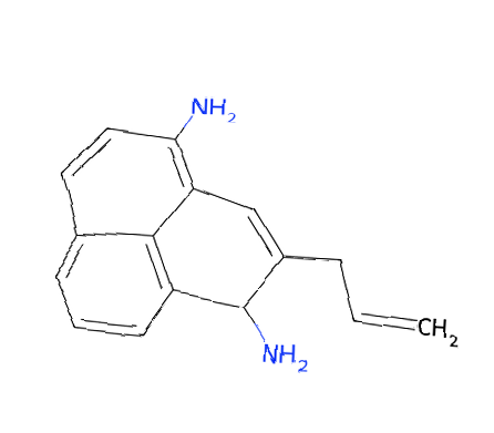 C=CCC1=Cc2c(N)ccc3cccc(c23)C1N